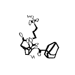 O=C1OC2C3C[C@H](C2OC(=O)C24CC5CC(CC(C5)C2)C4)C(C(=O)OCCCS(=O)(=O)O)C13